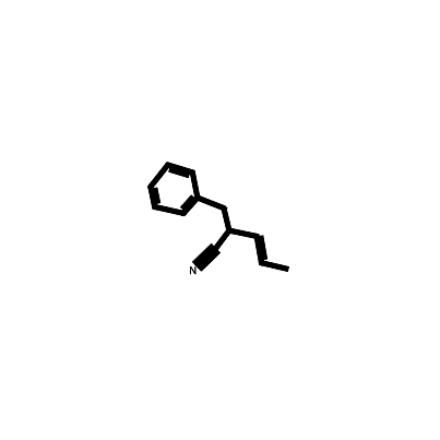 CC=CC(C#N)[CH]c1ccccc1